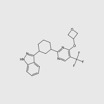 FC(F)(F)c1cnc(C2CCCC(c3n[nH]c4ccccc34)C2)nc1OC1COC1